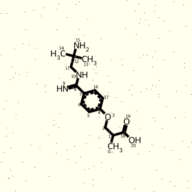 CC(COc1ccc(C(=N)NCC(C)(C)N)cc1)C(=O)O